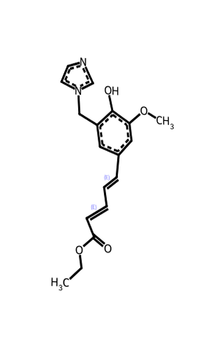 CCOC(=O)/C=C/C=C/c1cc(Cn2ccnc2)c(O)c(OC)c1